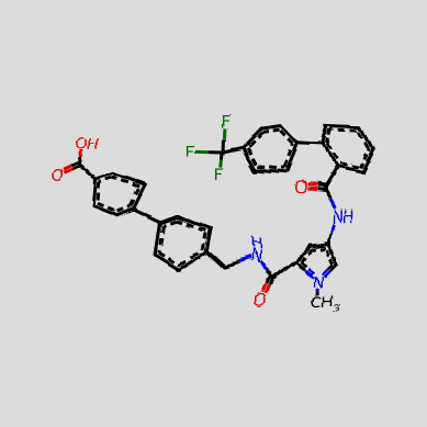 Cn1cc(NC(=O)c2ccccc2-c2ccc(C(F)(F)F)cc2)cc1C(=O)NCc1ccc(-c2ccc(C(=O)O)cc2)cc1